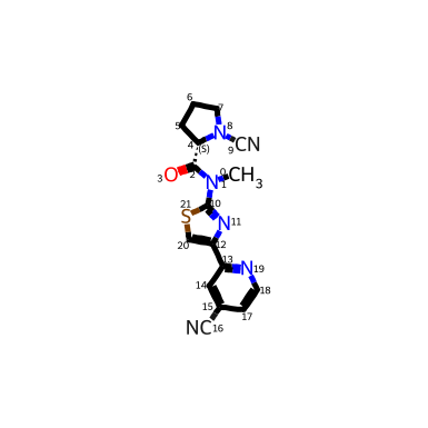 CN(C(=O)[C@@H]1CCCN1C#N)c1nc(-c2cc(C#N)ccn2)cs1